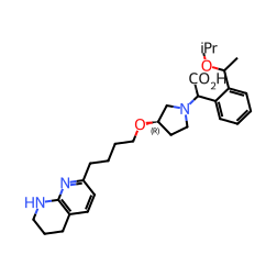 CC(C)OC(C)c1ccccc1C(C(=O)O)N1CC[C@@H](OCCCCc2ccc3c(n2)NCCC3)C1